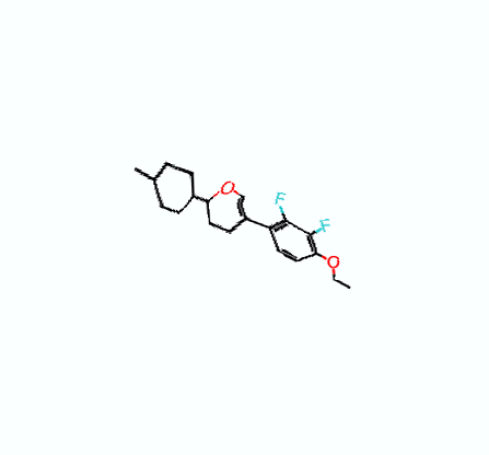 CCOc1ccc(C2=COC(C3CCC(C)CC3)CC2)c(F)c1F